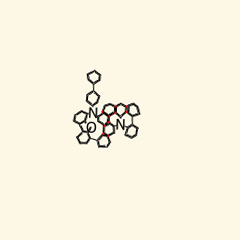 c1ccc(-c2ccc(N(c3cccc(-c4ccccc4N(c4ccccc4-c4ccccc4)c4ccccc4-c4ccccc4)c3)c3cccc4c3oc3c(-c5ccccc5)cccc34)cc2)cc1